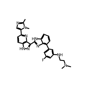 Cc1ncc(-c2ccc3[nH]nc(-c4nc5c(-c6cc(F)cc(NCCN(C)C)c6)cccc5[nH]4)c3n2)n1C